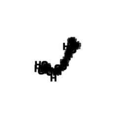 CN(CCNC[C@H](O)c1ccc(O)c2[nH]c(=O)ccc12)C(=O)CCOc1ccc(CCN2CC3CC(OC(=O)Nc4ccccc4-c4ccccc4)CC3C2)cc1